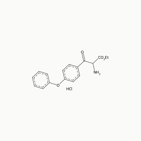 CCOC(=O)C(N)C(=O)c1ccc(Oc2ccccc2)cc1.Cl